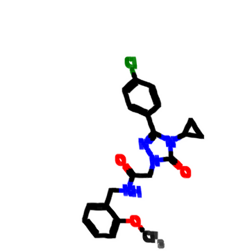 O=C(Cn1nc(-c2ccc(Cl)cc2)n(C2CC2)c1=O)NCc1ccccc1OC(F)(F)F